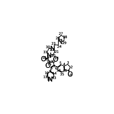 O=C1CCc2cc(C3=C(c4ccncc4)OC(C(=O)N4CCN(CCN5CCCC5)CC4)C3=O)ccc21